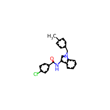 Cc1ccc(Cn2cc(NC(=O)c3ccc(Cl)cc3)c3ccccc32)cc1